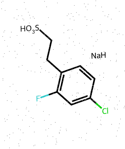 O=S(=O)(O)CCc1ccc(Cl)cc1F.[NaH]